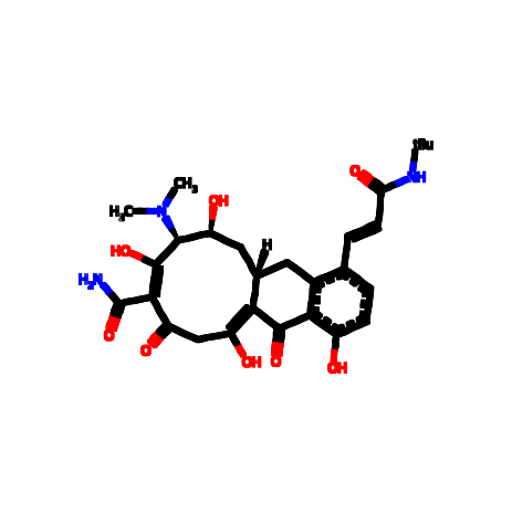 CN(C)[C@@H]1/C(O)=C(/C(N)=O)C(=O)C/C(O)=C2/C(=O)c3c(O)ccc(/C=C/C(=O)NC(C)(C)C)c3C[C@H]2C[C@@H]1O